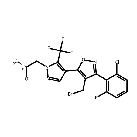 C[C@@H](O)Cn1ncc(-c2onc(-c3c(F)cccc3Cl)c2CBr)c1C(F)(F)F